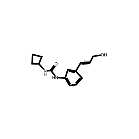 O=C(Nc1cccc(/C=C/CO)c1)NC1CCC1